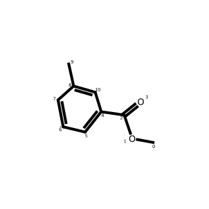 COC(=O)c1c[c]cc(C)c1